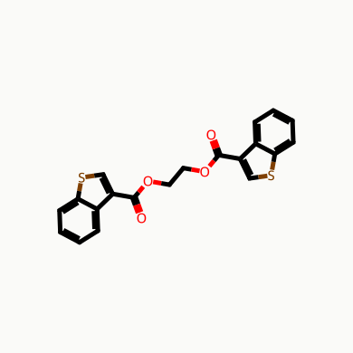 O=C(OCCOC(=O)c1csc2ccccc12)c1csc2ccccc12